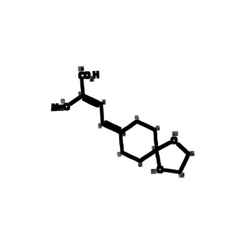 CO/C(=C\C=C1CCC2(CC1)OCCO2)C(=O)O